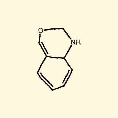 C1=CC2=COCNC2C=C1